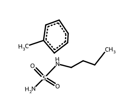 CCCCNS(N)(=O)=O.Cc1ccccc1